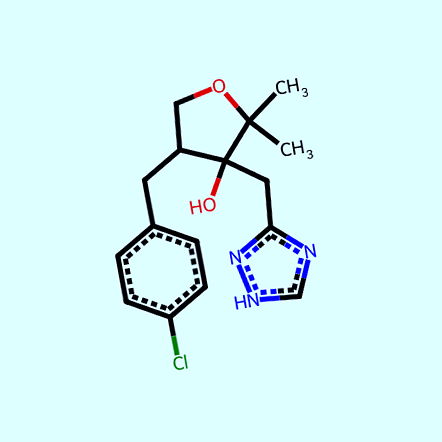 CC1(C)OCC(Cc2ccc(Cl)cc2)C1(O)Cc1nc[nH]n1